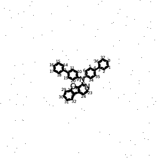 c1ccc(-c2ccc(N(c3ccc(-c4ccccc4)cc3)c3nccc4c3oc3ccccc34)cc2)cc1